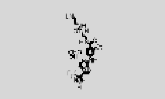 CCc1cc(Nc2nccn3c(-c4c[nH]nc4C(F)(F)F)cnc23)ccc1C(=O)NCCNC(=O)NCCN.O=CO